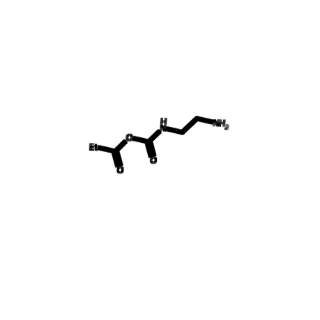 CCC(=O)OC(=O)NCCN